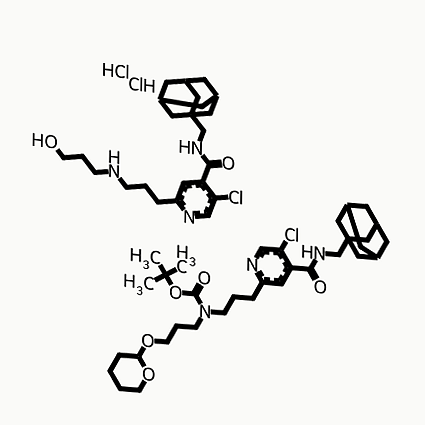 CC(C)(C)OC(=O)N(CCCOC1CCCCO1)CCCc1cc(C(=O)NCC23CC4CC(CC(C4)C2)C3)c(Cl)cn1.Cl.Cl.O=C(NCC12CC3CC(CC(C3)C1)C2)c1cc(CCCNCCCO)ncc1Cl